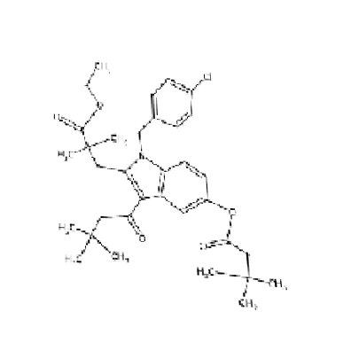 CCOC(=O)C(C)(C)Cc1c(C(=O)CC(C)(C)C)c2cc(OC(=O)CC(C)(C)C)ccc2n1Cc1ccc(Cl)cc1